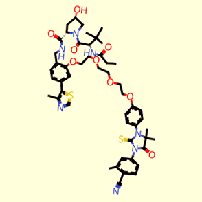 CCC(=O)N[C@H](C(=O)N1C[C@H](O)C[C@H]1C(=O)NCc1ccc(-c2scnc2C)cc1OCCOCCOCCOc1ccc(N2C(=S)N(c3ccc(C#N)c(C)c3)C(=O)C2(C)C)cc1)C(C)(C)C